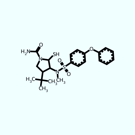 CN(C1C(S)N(C(N)=O)CC1C(C)(C)C)S(=O)(=O)c1ccc(Oc2ccccc2)cc1